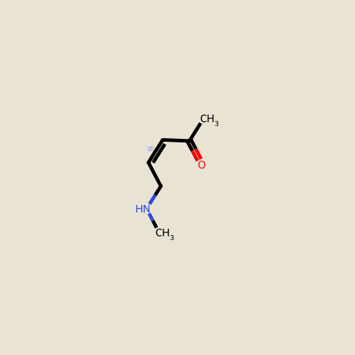 CNC/C=C\C(C)=O